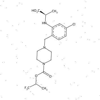 CC(OC(=O)N1CCN(Cc2ccc(Cl)cc2N[C@H](C)C(=O)O)CC1)C(F)(F)F